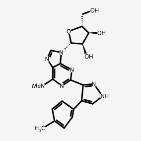 CNc1nc(-c2n[nH]cc2-c2ccc(C)cc2)nc2c1ncn2[C@@H]1O[C@H](CO)[C@@H](O)[C@H]1O